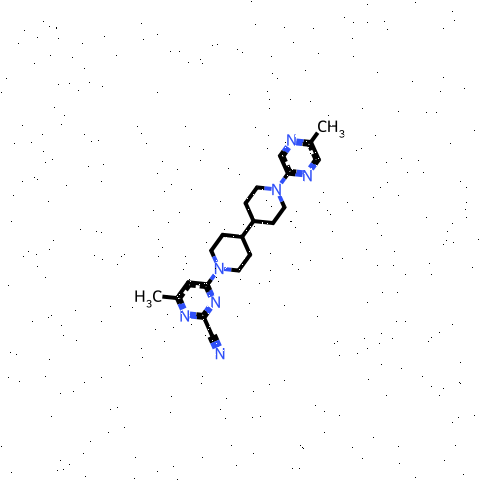 Cc1cnc(N2CCC(C3CCN(c4cc(C)nc(C#N)n4)CC3)CC2)cn1